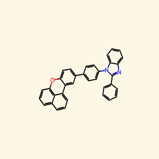 c1ccc(-c2nc3ccccc3n2-c2ccc(-c3ccc4c(c3)-c3cccc5cccc(c35)O4)cc2)cc1